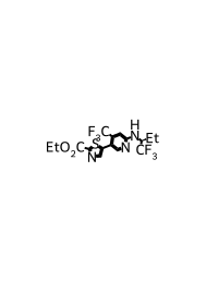 CCOC(=O)c1ncc(-c2cnc(N[C@@H](CC)C(F)(F)F)cc2C(F)(F)F)s1